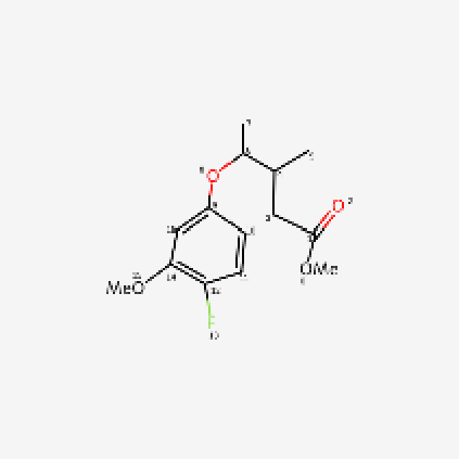 COC(=O)CC(C)C(C)Oc1ccc(F)c(OC)c1